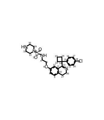 O=S(=O)(NCCOc1ccc2c(c1)C(C1(c3ccc(Cl)cc3)CCC1)=NCC2)N1CCNCC1